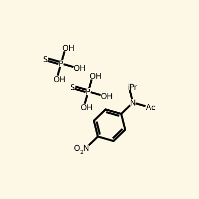 CC(=O)N(c1ccc([N+](=O)[O-])cc1)C(C)C.OP(O)(O)=S.OP(O)(O)=S